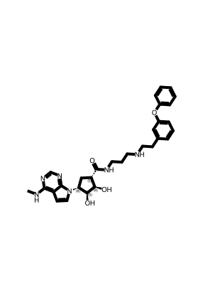 CNc1ncnc2c1ccn2[C@@H]1C[C@H](C(=O)NCCCNCCc2cccc(Oc3ccccc3)c2)[C@@H](O)[C@H]1O